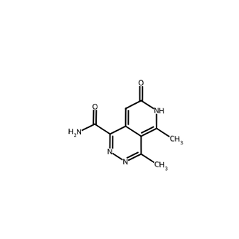 Cc1nnc(C(N)=O)c2cc(=O)[nH]c(C)c12